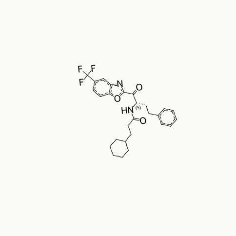 O=C(CCC1CCCCC1)N[C@@H](CCc1ccccc1)C(=O)c1nc2cc(C(F)(F)F)ccc2o1